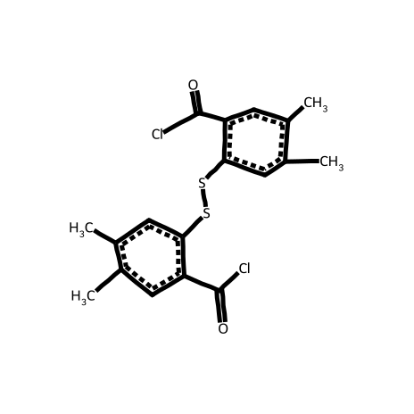 Cc1cc(SSc2cc(C)c(C)cc2C(=O)Cl)c(C(=O)Cl)cc1C